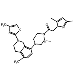 Cc1cc(C)n(CC(=O)N2CCN(c3ccc(C(F)(F)F)c4c3CN(c3nc(C(F)(F)F)cs3)CC4)C[C@H]2C)n1